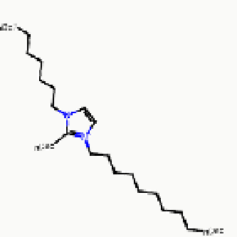 CCCCCCCCCCCCCCCCCCC[n+]1ccn(CCCCCCCCCCCCCCCC)c1CCCCCCCCCC